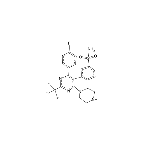 NS(=O)(=O)c1cccc(-c2c(-c3ccc(F)cc3)nc(C(F)(F)F)nc2N2CCNCC2)c1